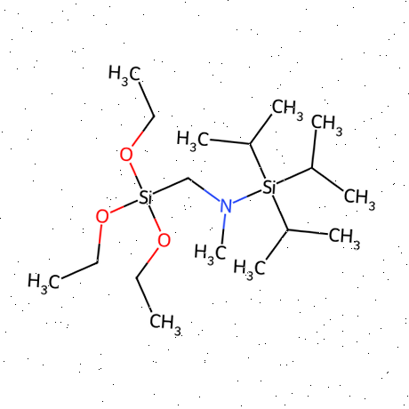 CCO[Si](CN(C)[Si](C(C)C)(C(C)C)C(C)C)(OCC)OCC